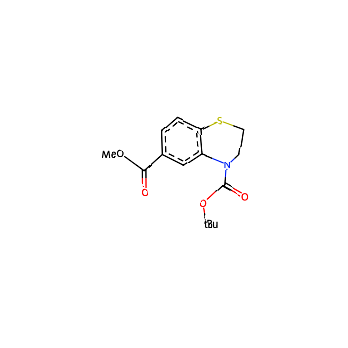 COC(=O)c1ccc2c(c1)N(C(=O)OC(C)(C)C)CCS2